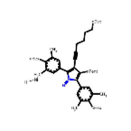 CCCCCCCCCCCCCCC#CC1=C(c2cc(C)c(CCCCCC)c(C)c2)[N+](=[N-])C(c2cc(C)c(CCCCCC)c(C)c2)=C1CCCCC.[H-].[H-].[Ni]